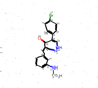 O=C(O)Nc1cccc(Cc2n[nH]cc(-c3ccc(Br)cc3)c2=O)c1